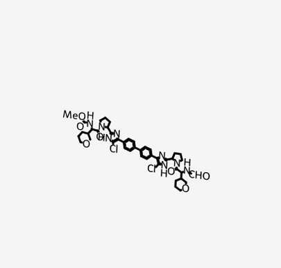 COC(=O)NC(C(=O)N1CCCC1c1nc(-c2ccc(-c3ccc(-c4nc(C5CCCN5C(=O)C(NC=O)C5CCCOC5)[nH]c4Cl)cc3)cc2)c(Cl)[nH]1)C1CCCOC1